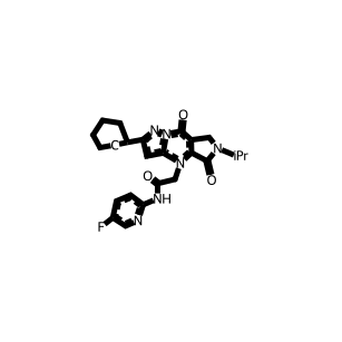 CC(C)N1Cc2c(n(CC(=O)Nc3ccc(F)cn3)c3cc(C4CCCCC4)nn3c2=O)C1=O